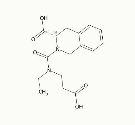 CCN(CCC(=O)O)C(=O)N1Cc2ccccc2C[C@H]1C(=O)O